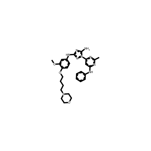 COc1cc(Nc2nc(N)n(-c3cc(Nc4ccccc4)nc(C)n3)n2)ccc1OCCCCN1CCOCC1